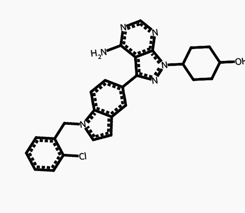 Nc1ncnc2c1c(-c1ccc3c(ccn3Cc3ccccc3Cl)c1)nn2C1CCC(O)CC1